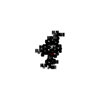 CC(C)C[C@H](NC(=O)[C@H](C)N)C(=O)N[C@@H](CS)C(=O)N[C@H](C(=O)N[C@@H](CCCNC(=N)N)C(=O)N[C@H](C(=O)N1CCC[C@H]1C(=O)N[C@@H](CS)C(=O)N[C@H](C(N)=O)[C@@H](C)O)C(C)C)[C@@H](C)O